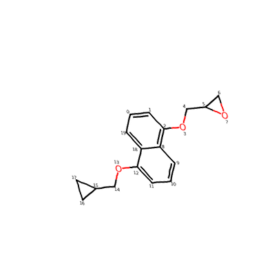 c1cc(OCC2CO2)c2cccc(OCC3CC3)c2c1